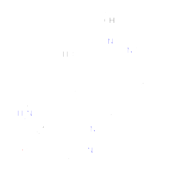 Cc1nn(C)c(C)c1-c1cn2ncc(C(N)=O)c2s1